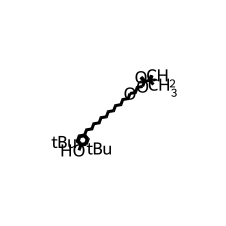 C=C(C)C(=O)OCCOCCCCCCCCCCCCc1cc(C(C)(C)C)c(O)c(C(C)(C)C)c1